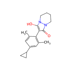 Cc1cc(C2CC2)cc(C)c1-c1c(O)n2n(c1=O)CCCC2